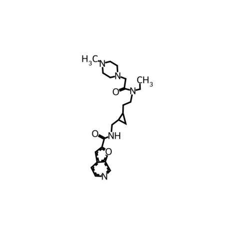 CCN(CCC1CC1CNC(=O)c1cc2ccncc2o1)C(=O)CN1CCN(C)CC1